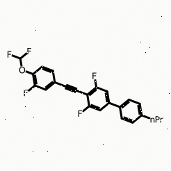 CCCc1ccc(-c2cc(F)c(C#Cc3ccc(OC(F)F)c(F)c3)c(F)c2)cc1